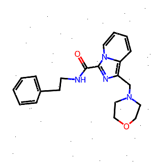 O=C(NCCc1ccccc1)c1nc(CN2CCOCC2)c2ccccn12